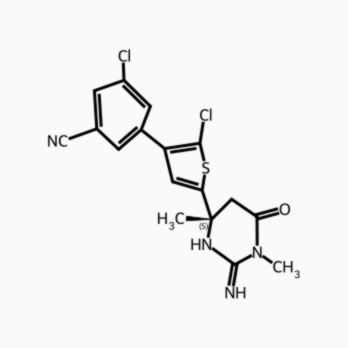 CN1C(=N)N[C@](C)(c2cc(-c3cc(Cl)cc(C#N)c3)c(Cl)s2)CC1=O